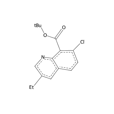 CCc1cnc2c(C(=O)OC(C)(C)C)c(Cl)ccc2c1